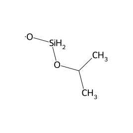 CC(C)O[SiH2][O]